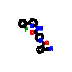 N#Cc1ccccc1C(=O)N1CCC(C(=O)Nc2cccc(-c3ccccc3F)n2)CC1